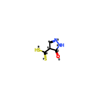 O=C1NN=CC1C(=S)S